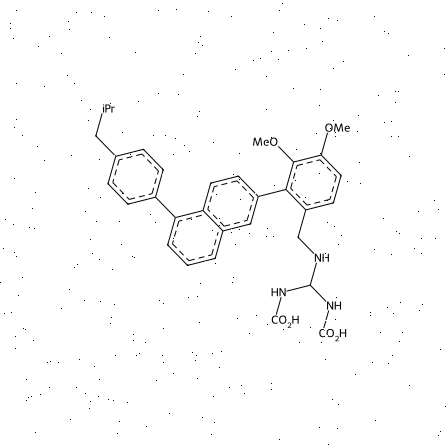 COc1ccc(CNC(NC(=O)O)NC(=O)O)c(-c2ccc3c(-c4ccc(CC(C)C)cc4)cccc3c2)c1OC